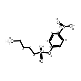 CCCCCS(=O)(=O)Oc1ccc(S(=O)O)cc1